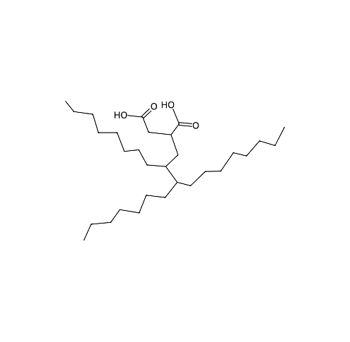 CCCCCCCCC(CCCCCCC)C(CCCCCCCC)CC(CC(=O)O)C(=O)O